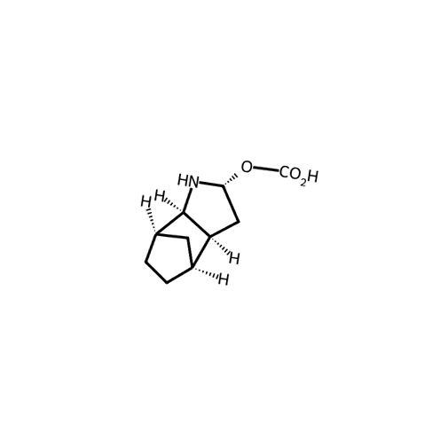 O=C(O)O[C@@H]1C[C@H]2[C@H]3CC[C@H](C3)[C@H]2N1